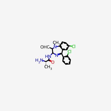 C[C@H](N)C(=O)NC1N=C(c2ccccc2Cl)c2cc(Cl)ccc2N(C)C1C=O